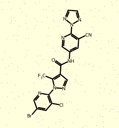 N#Cc1cc(NC(=O)c2cnn(-c3ncc(Br)cc3Cl)c2C(F)(F)F)cnc1-n1nccn1